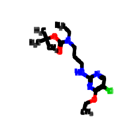 BCN(CCCNc1ncc(Cl)c(OCC)n1)C(=O)OC(C)(C)C